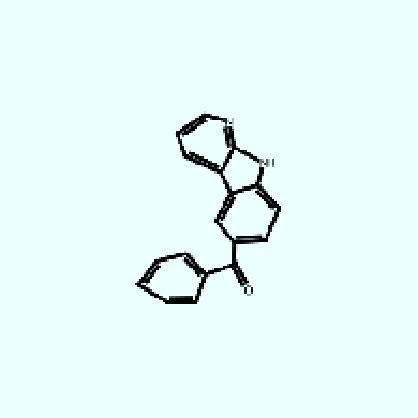 O=C(c1ccccc1)c1ccc2[nH]c3ncccc3c2c1